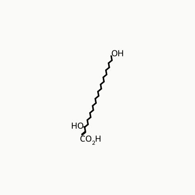 O=C(O)C=CC(O)CCCCCCCCCCCCCCCCCCCCO